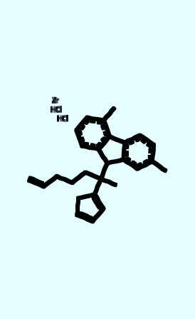 C=CCCCC(C)(C1=CC=CC1)C1c2cc(C)ccc2-c2c(C)cccc21.Cl.Cl.[Zr]